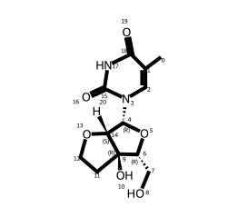 Cc1cn([C@@H]2O[C@H](CO)[C@]3(O)CCO[C@H]23)c(=O)[nH]c1=O